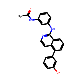 CC(=O)Nc1cccc(Nc2nccc3c(-c4cccc(O)c4)cccc23)c1